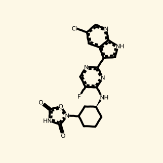 O=c1[nH]c(=O)n(C2CCC[C@H](Nc3nc(-c4c[nH]c5ncc(Cl)cc45)ncc3F)C2)o1